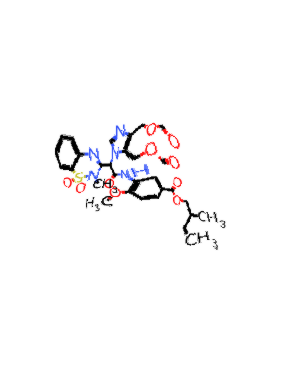 CCC(C)COC(=O)c1ccc(OC)c(NC(=O)C(C2=Nc3ccccc3S(=O)(=O)N2C)n2cnc(COC=O)c2COC=O)c1